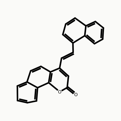 O=c1cc(C=Cc2cccc3ccccc23)c2ccc3ccccc3c2o1